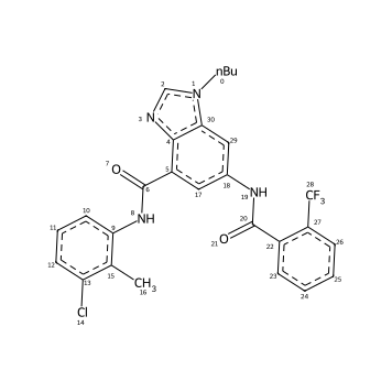 CCCCn1cnc2c(C(=O)Nc3cccc(Cl)c3C)cc(NC(=O)c3ccccc3C(F)(F)F)cc21